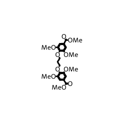 COC(=O)c1cc(OC)c(OCCCOc2c(OC)cc(C(=O)OC)cc2OC)c(OC)c1